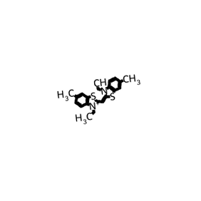 CCN1C(=Cc2sc3cc(C)ccc3[n+]2CC)Sc2cc(C)ccc21